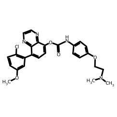 COc1ccc(Cl)c(-c2ccc(OC(=O)Nc3ccc(OCCN(C)C)cc3)c3nccnc23)c1